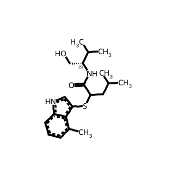 Cc1cccc2[nH]cc(SC(CC(C)C)C(=O)N[C@H](CO)C(C)C)c12